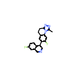 Cc1nnc2n1-c1cc(F)c(-c3cncc4cc(F)ccc34)cc1CC2